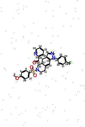 COc1ccc(S(=O)(=O)N2CCC3=Cc4c(cnn4-c4ccc(F)cc4)C[C@]3(C(=O)c3ccccn3)C2)cc1